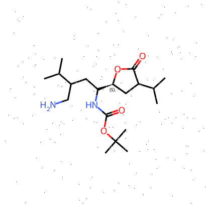 CC(C)C(CN)CC(NC(=O)OC(C)(C)C)[C@@H]1CC(C(C)C)C(=O)O1